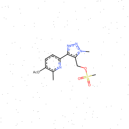 CC(=O)Oc1ccc(-c2nnn(C)c2COS(C)(=O)=O)nc1C